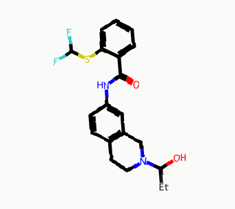 CCC(O)N1CCc2ccc(NC(=O)c3ccccc3SC(F)F)cc2C1